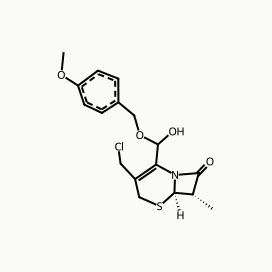 COc1ccc(COC(O)C2=C(CCl)CS[C@@H]3[C@@H](C)C(=O)N23)cc1